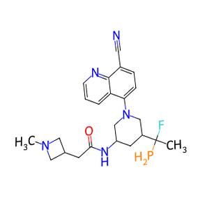 CN1CC(CC(=O)NC2CC(C(C)(F)P)CN(c3ccc(C#N)c4ncccc34)C2)C1